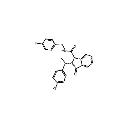 CC(c1ccc(Cl)cc1)N1C(=O)c2ccccc2C1C(=O)NCc1ccc(F)cc1